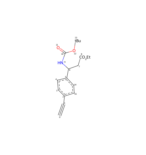 C#Cc1ccc(C(CC(=O)OCC)NC(=O)OC(C)(C)C)cc1